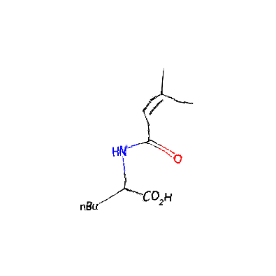 CCCCC(NC(=O)C=C(C)C)C(=O)O